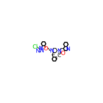 O=C(N(Cc1ccnc2ccccc12)[C@H]1CCN(CCOc2ccccc2-n2ncnc2Cl)[C@H](Cc2ccccc2)C1)C(F)(F)F